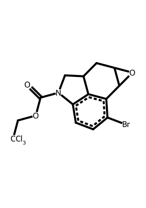 O=C(OCC(Cl)(Cl)Cl)N1CC2CC3OC3c3c(Br)ccc1c32